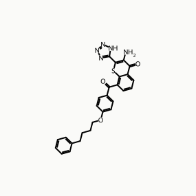 Nc1c(-c2nnn[nH]2)sc2c(C(=O)c3ccc(OCCCCc4ccccc4)cc3)cccc2c1=O